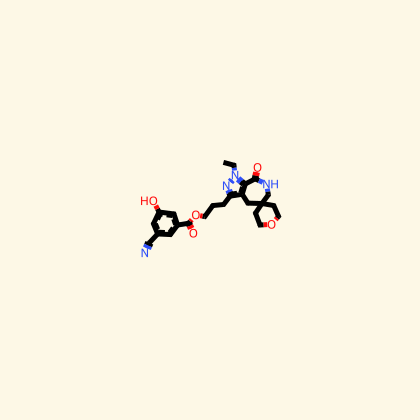 CCn1nc(CCCOC(=O)c2cc(O)cc(C#N)c2)c2c1C(=O)NCC1(CCOCC1)C2